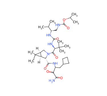 CC(C)OC(=O)NC[C@@H](NC(=O)N[C@H](C(=O)N1C[C@H]2[C@@H]([C@H]1C(=O)NC(CC1CCC1)C(=O)C(N)=O)C2(C)C)C(C)(C)C)C(C)C